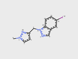 Cn1ccc(Cn2ncc3cc(I)ccc32)n1